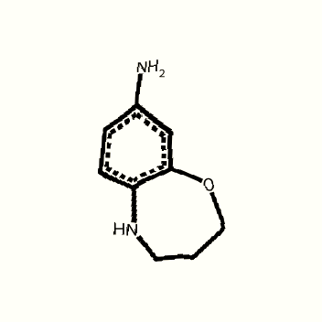 Nc1ccc2c(c1)OCCCN2